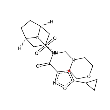 O=C(N[C@@H]1C[C@H]2CC[C@@H](C1)N2S(=O)(=O)CCN1CCOCC1)c1cc(C2CC2)on1